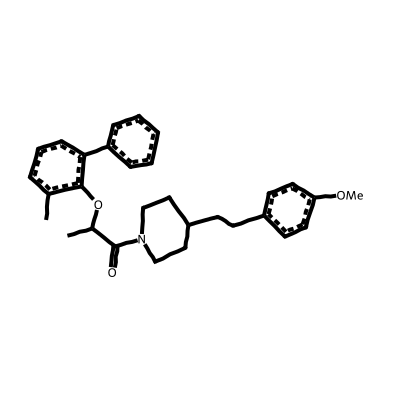 COc1ccc(CCC2CCN(C(=O)C(C)Oc3c(C)cccc3-c3ccccc3)CC2)cc1